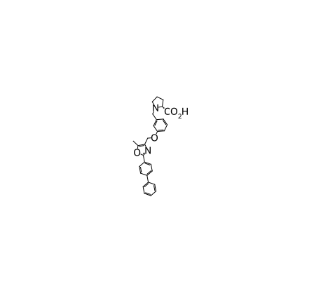 Cc1oc(-c2ccc(-c3ccccc3)cc2)nc1COc1cccc(CN2CCC[C@H]2C(=O)O)c1